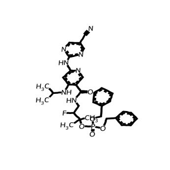 CC(C)Nc1cc(Nc2ncc(C#N)cn2)ncc1C(=O)NCC(F)C(C)(C)OP(=O)(OCc1ccccc1)OCc1ccccc1